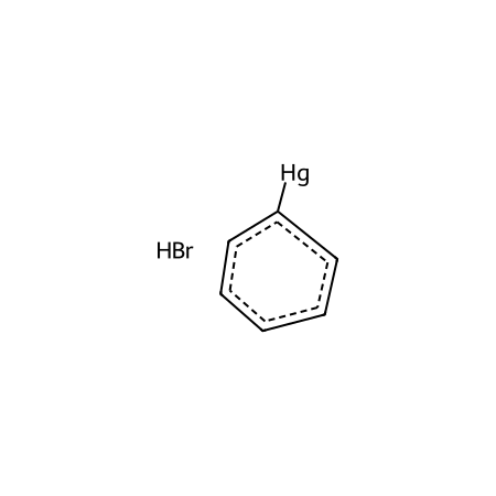 Br.[Hg][c]1ccccc1